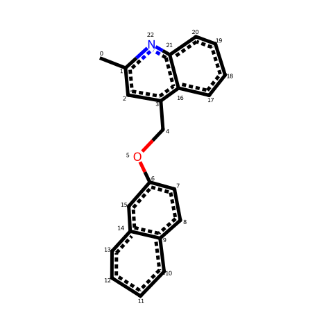 Cc1cc(COc2ccc3[c]cccc3c2)c2ccccc2n1